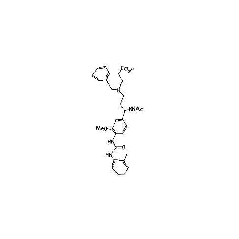 COc1cc(C(CCN(CCC(=O)O)Cc2ccccc2)NC(C)=O)ccc1NC(=O)Nc1ccccc1C